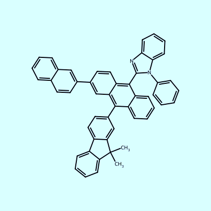 CC1(C)c2ccccc2-c2ccc(-c3c4ccccc4c(-c4nc5ccccc5n4-c4ccccc4)c4ccc(-c5ccc6ccccc6c5)cc34)cc21